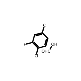 Fc1cc(Cl)ccc1Cl.O=CO